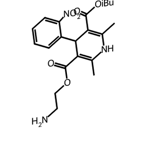 CC1=C(C(=O)OCCN)C(c2ccccc2[N+](=O)[O-])C(C(=O)OCC(C)C)=C(C)N1